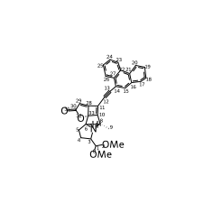 COC(OC)C1CC[C@H]2N1[C@@H](C)C1=C(C#Cc3cc4ccccc4c4ccccc34)C3=CC(=O)O[C@]312